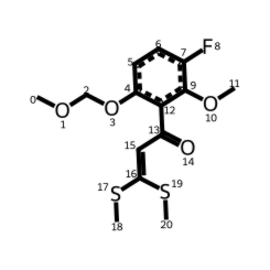 COCOc1ccc(F)c(OC)c1C(=O)C=C(SC)SC